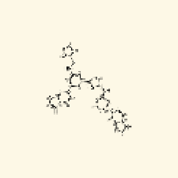 c1coc(CNc2nc(-c3ccc4[nH]cnc4c3)cc(-c3ccc(Nc4nccc(-c5ccc6[nH]cnc6c5)n4)s3)n2)c1